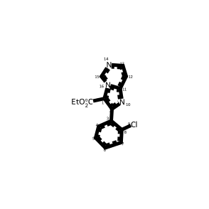 CCOC(=O)c1c(-c2ccccc2Cl)nc2ccncn12